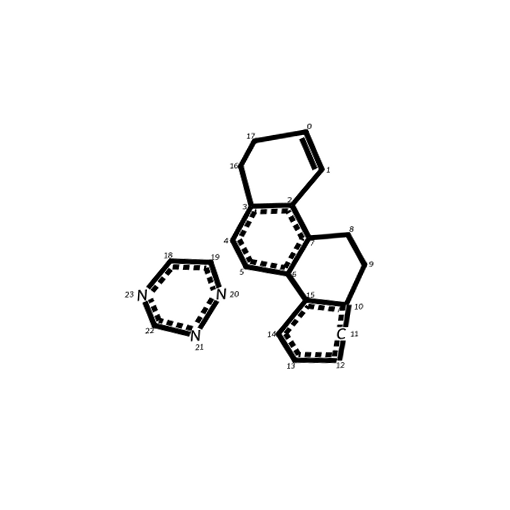 C1=Cc2c(ccc3c2CCc2ccccc2-3)CC1.c1cnncn1